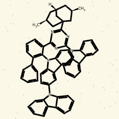 C[C@@H]1C[C@H]2C[C@H](C)CC(c3nc(-c4cccc(-c5ccccc5)c4-n4c5ccccc5c5cc(-n6c7ccccc7c7ccccc76)ccc54)nc(-n4c5ccccc5c5ccccc54)n3)(C1)C2